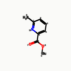 Bc1cccc(C(=O)OC(C)(C)C)n1